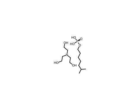 CC(C)CCCCCOP(=O)(O)O.OCCN(CCO)CCO